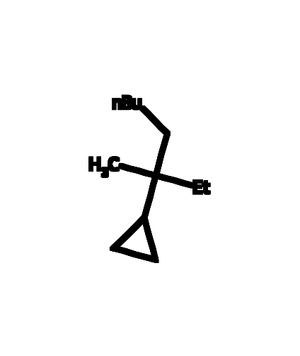 CCCCCC(C)(CC)C1CC1